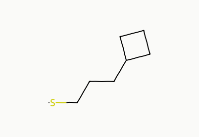 [S]CCCC1CCC1